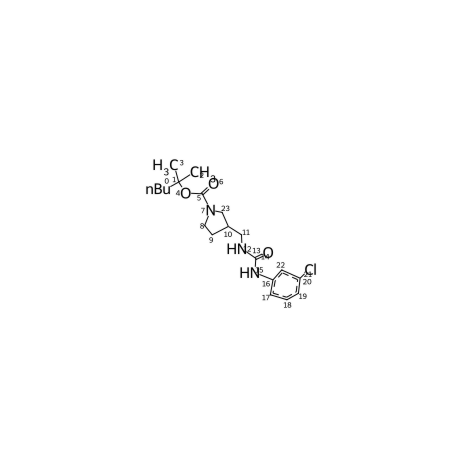 CCCCC(C)(C)OC(=O)N1CCC(CNC(=O)Nc2cccc(Cl)c2)C1